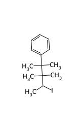 CC(I)C(C)(C)C(C)(C)c1ccccc1